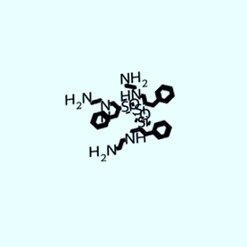 C[Si](C)(O[Si](C)(O[Si](C)(C)C(CNCCN)Cc1ccccc1)C(CNCCN)Cc1ccccc1)C(CNCCN)Cc1ccccc1